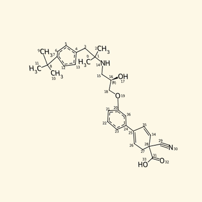 CC(C)(Cc1ccc(C(C)(C)C)cc1)NC[C@@H](O)COc1cccc(C2=CCC(C#N)(C(=O)O)C=C2)c1